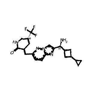 N[C@H](c1cn2nc(CC3C[C@@H](C(F)(F)F)CNC3=O)ccc2n1)C1CC(C2CC2)C1